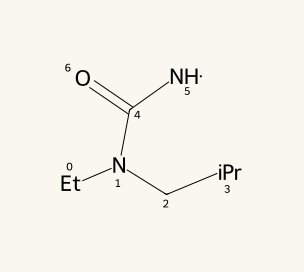 CCN(CC(C)C)C([NH])=O